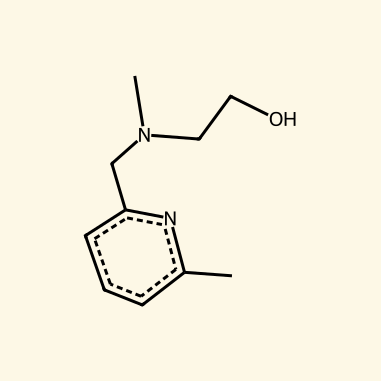 Cc1cccc(CN(C)CCO)n1